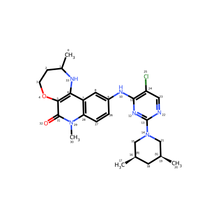 CC1CCOc2c(c3cc(Nc4nc(N5C[C@H](C)C[C@H](C)C5)ncc4Cl)ccc3n(C)c2=O)N1